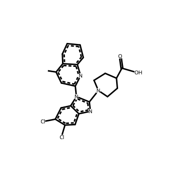 Cc1cc(-n2c(N3CCC(C(=O)O)CC3)nc3cc(Cl)c(Cl)cc32)nc2ccccc12